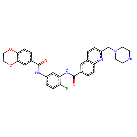 O=C(Nc1ccc(F)c(NC(=O)c2ccc3nc(CN4CCNCC4)ccc3c2)c1)c1ccc2c(c1)OCCO2